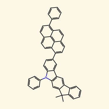 CC1(C)c2ccccc2-c2cc3c4cc(-c5ccc6ccc7c(-c8ccccc8)ccc8ccc5c6c87)ccc4n(-c4ccccc4)c3cc21